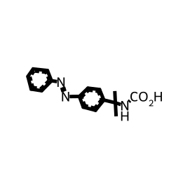 CC(C)(NC(=O)O)c1ccc(/N=N/c2ccccc2)cc1